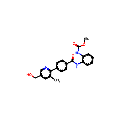 Cc1cc(CO)cnc1-c1ccc(C(=O)Nc2ccccc2NC(=O)OC(C)(C)C)cc1